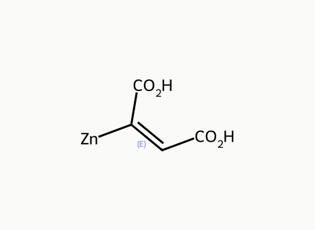 O=C(O)/C=[C](/[Zn])C(=O)O